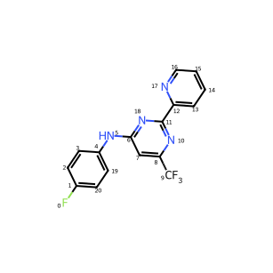 Fc1ccc(Nc2cc(C(F)(F)F)nc(-c3ccccn3)n2)cc1